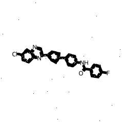 O=C(Nc1ccc(-c2ccc(-c3cnc4cc(Cl)ccc4n3)cc2)cc1)c1ccc(F)cc1